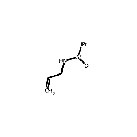 C=CCN[S+]([O-])C(C)C